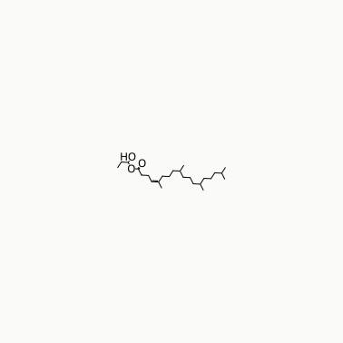 CCC(O)OC(=O)CCC=C(C)CCCC(C)CCCC(C)CCCC(C)C